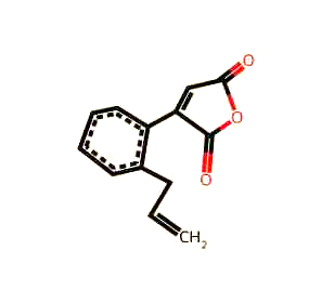 C=CCc1ccccc1C1=CC(=O)OC1=O